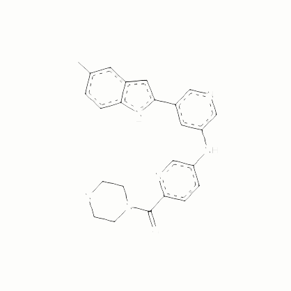 O=C(c1ccc(Nc2cncc(-c3cc4cc(F)ccc4[nH]3)c2)cn1)N1CCNCC1